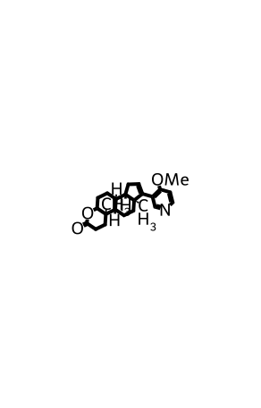 COc1ccncc1C1=CC[C@H]2[C@@H]3CCC4OC(=O)CC[C@]4(C)[C@H]3CC[C@]12C